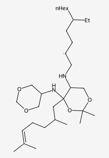 CCCCCCC(CC)CC[CH]CNC1COC(C)(C)OC1(CC(C)CCC=C(C)C)NC1COCOC1